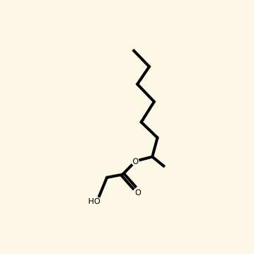 CCCCCCC(C)OC(=O)CO